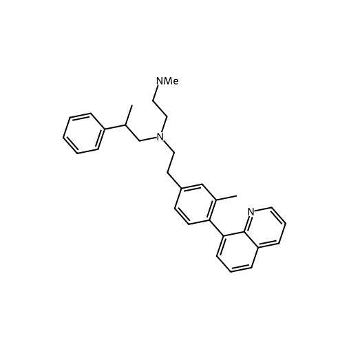 CNCCN(CCc1ccc(-c2cccc3cccnc23)c(C)c1)CC(C)c1ccccc1